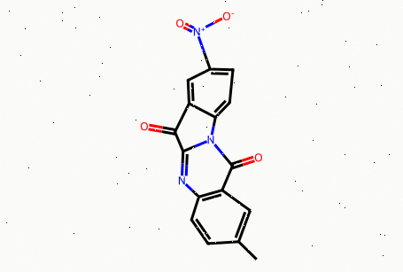 Cc1ccc2nc3n(c(=O)c2c1)-c1ccc([N+](=O)[O-])cc1C3=O